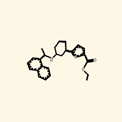 CCOC(=O)c1ccc(C2CCCC(NC(C)c3cccc4ccccc34)C2)s1